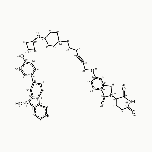 Cn1c2ccncc2c2ccc(-c3ccc(O[C@H]4C[C@H](OC5CCN(CCCC#CCOc6ccc7c(c6)CN(C6CCC(=O)NC6=O)C7=O)CC5)C4)nc3)cc21